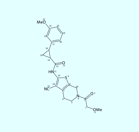 COCC(=O)N1CCc2c(sc(NC(=O)C3CC3c3cccc(OC)c3)c2C#N)C1